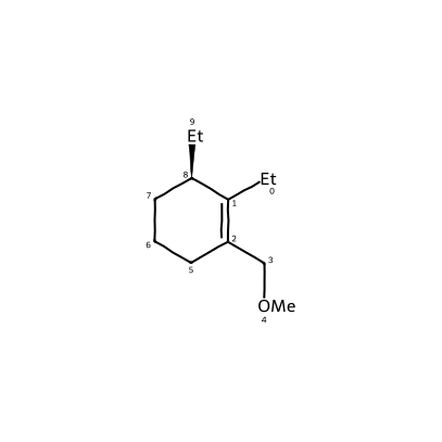 CCC1=C(COC)CCC[C@H]1CC